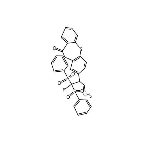 C=CC(c1ccc2c(c1)CC(=O)c1ccccc1S2)C(F)(S(=O)(=O)c1ccccc1)S(=O)(=O)c1ccccc1